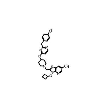 N#Cc1cnc2c(c1)nc(CN1CCC(Oc3ccnc(Cc4ccc(Cl)cc4)n3)CC1)n2OC1CCC1